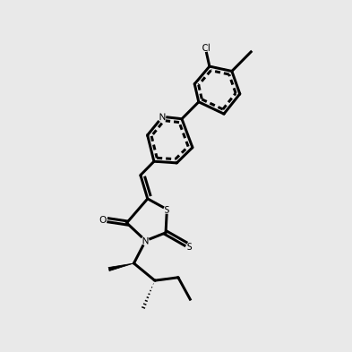 CC[C@H](C)[C@@H](C)N1C(=O)/C(=C/c2ccc(-c3ccc(C)c(Cl)c3)nc2)SC1=S